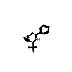 CC(C)(C)[C@@H](C#N)N[C@@H](CO)c1ccccc1